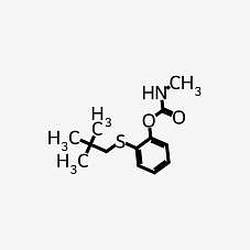 CNC(=O)Oc1ccccc1SCC(C)(C)C